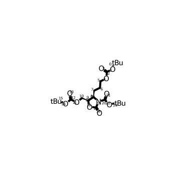 CC(C)(C)OC(=O)OCCC[C@@H]1[C@H](COC(=O)OC(C)(C)C)OC(=O)N1C(=O)OC(C)(C)C